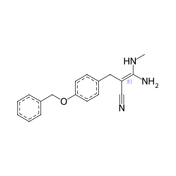 CN/C(N)=C(/C#N)Cc1ccc(OCc2ccccc2)cc1